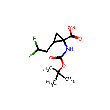 CC(C)(C)OC(=O)NC1(C(=O)O)CC1CC(F)F